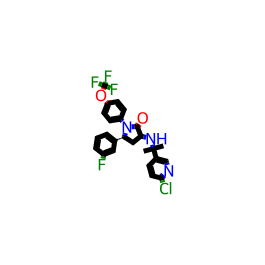 CC(C)(NC1C[C@H](c2cccc(F)c2)N(c2ccc(OC(F)(F)F)cc2)C1=O)c1ccc(Cl)nc1